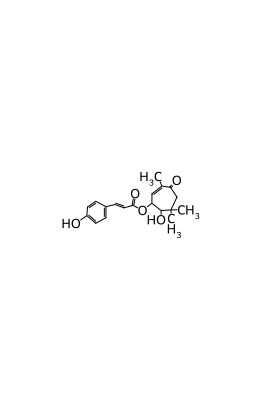 CC1=CC(OC(=O)C=Cc2ccc(O)cc2)C(O)C(C)(C)CC1=O